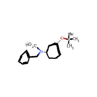 CC(C)(C)[Si](C)(C)O[C@@H]1CCC[C@H](N(Cc2ccccc2)C(=O)O)C1